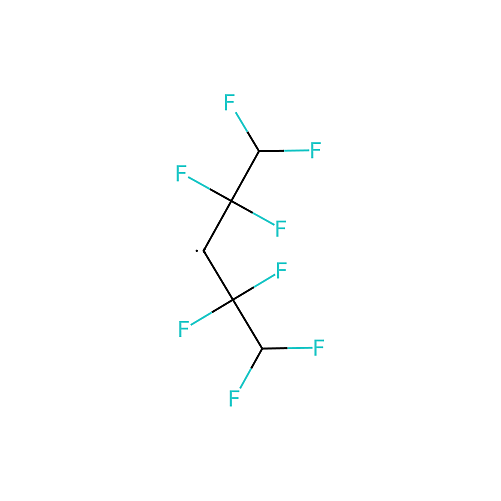 FC(F)C(F)(F)[CH]C(F)(F)C(F)F